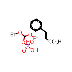 CCOC(OCC)OP(=O)(O)O.O=C(O)C=Cc1ccccc1